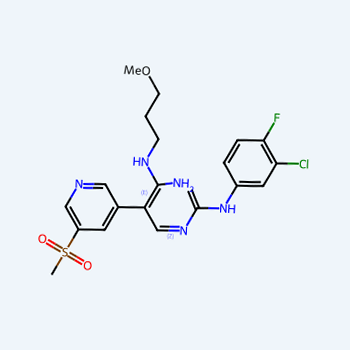 C=C(/N=C\C(=C(/N)NCCCOC)c1cncc(S(C)(=O)=O)c1)Nc1ccc(F)c(Cl)c1